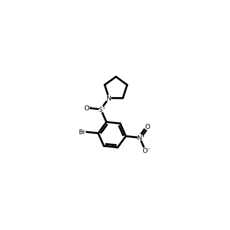 O=[N+]([O-])c1ccc(Br)c([S+]([O-])N2CCCC2)c1